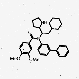 COc1ccc(C(=O)N(c2cccc(-c3ccccc3)c2)[C@@H](CC2CCCCC2)C2CCCN2)cc1OC